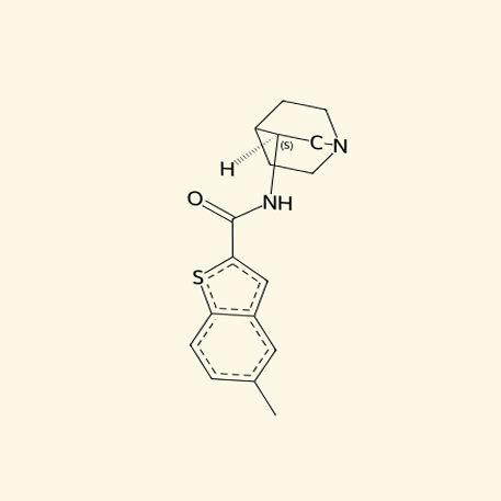 Cc1ccc2sc(C(=O)N[C@@H]3CN4CCC3CC4)cc2c1